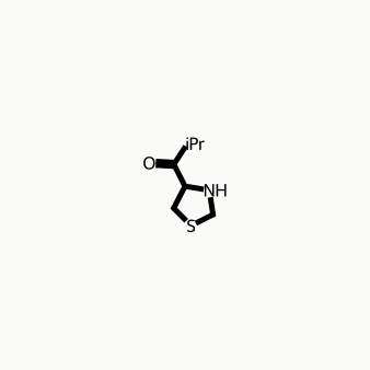 CC(C)C(=O)C1CSCN1